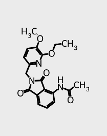 CCOc1nc(CN2C(=O)c3cccc(NC(C)=O)c3C2=O)ccc1OC